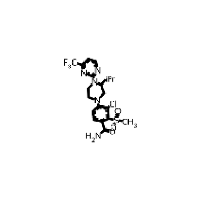 CC(C)C1CN(c2ccc(C(N)=O)c(S(C)(=O)=O)c2Cl)CCN1c1nccc(C(F)(F)F)n1